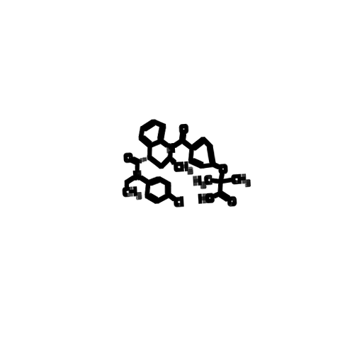 CCN(C(=O)[C@H]1C[C@H](C)N(C(=O)c2ccc(OC(C)(C)C(=O)O)cc2)c2ccccc21)c1ccc(Cl)cc1